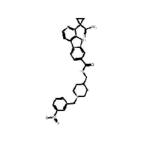 NC(=O)C1(c2nccc3c2[nH]c2cc(C(=O)NCC4CCN(Cc5cccc([N+](=O)[O-])c5)CC4)ccc23)CC1